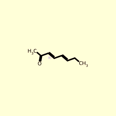 CCC=C/C=C/C(C)=O